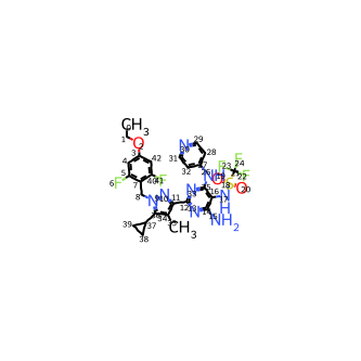 CCOc1cc(F)c(Cn2nc(-c3nc(N)c(NS(=O)(=O)C(F)(F)F)c(Nc4ccncc4)n3)c(C)c2C2CC2)c(F)c1